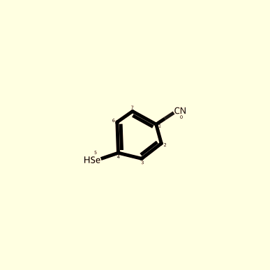 N#Cc1ccc([SeH])cc1